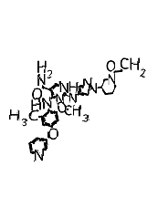 C=CC(=O)N1CCCC(n2cc(Nc3ncc(C(N)=O)c(Nc4c(C)cc(Oc5cccnc5)cc4OC)n3)cn2)C1